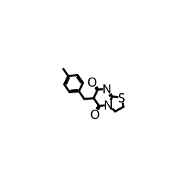 Cc1ccc(CC2C(=O)N=C3SCCN3C2=O)cc1